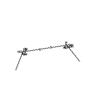 CCCCCCCCCCCCCC[C@@H](O)[C@@H](O)C(CO)NC(=O)CCCCCCCCCCSCCCCCCCCSCCCCCCCCCCC(=O)NC(CO)[C@H](O)[C@H](O)CCCCCCCCCCCCCC